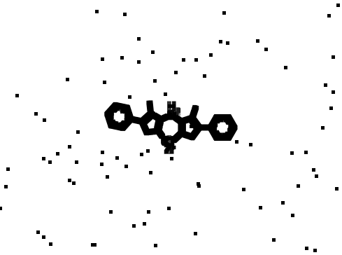 CC1=C(c2ccccc2)CC(Cl)=C1[SiH2]C1=C(Cl)CC(c2ccccc2)=C1C.[Zr]